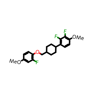 COc1ccc(OCC2CCC(c3ccc(OC)c(F)c3F)CC2)c(F)c1